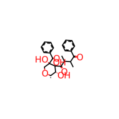 CC(C(=O)c1ccccc1)C(C)C(=O)[C@]1(O)[C@H](O)[CH]OC[C@]1(O)C(=O)c1ccccc1